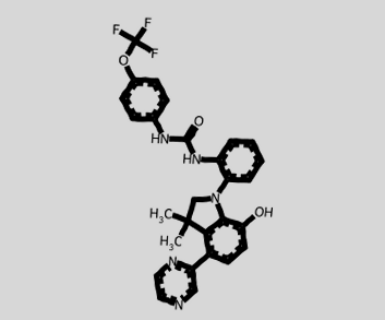 CC1(C)CN(c2ccccc2NC(=O)Nc2ccc(OC(F)(F)F)cc2)c2c(O)ccc(-c3cnccn3)c21